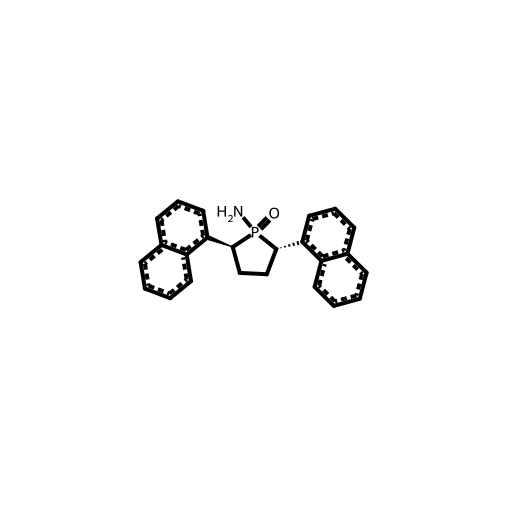 NP1(=O)[C@H](c2cccc3ccccc23)CC[C@H]1c1cccc2ccccc12